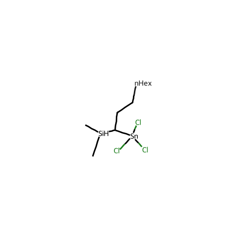 CCCCCCCC[CH]([SiH](C)C)[Sn]([Cl])([Cl])[Cl]